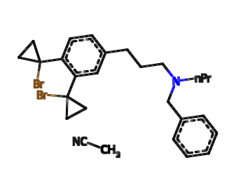 CC#N.CCCN(CCCc1ccc(C2(Br)CC2)c(C2(Br)CC2)c1)Cc1ccccc1